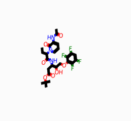 CCC(C(=O)NC(CC(=O)OC(C)(C)C)C(O)COc1c(F)c(F)cc(F)c1F)n1cccc(NC(C)=O)c1=O